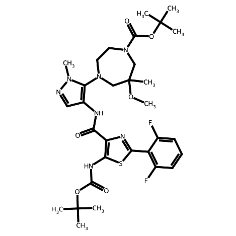 COC1(C)CN(C(=O)OC(C)(C)C)CCN(c2c(NC(=O)c3nc(-c4c(F)cccc4F)sc3NC(=O)OC(C)(C)C)cnn2C)C1